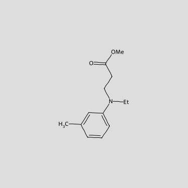 CCN(CCC(=O)OC)c1cccc(C)c1